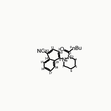 CCCCC(=O)N1CCCCN1c1ccc(C#N)c2ccccc12